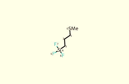 CSCCC[Si](F)(F)F